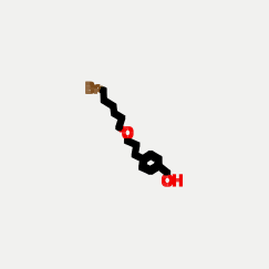 OCc1ccc(CCCOCCCCCCBr)cc1